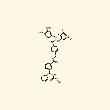 COc1ccc([C@H](Cc2c(Cl)c[n+]([O-])cc2Cl)OC(=O)c2ccc(COC(=O)c3cccc(C(NC(=O)OC(C)(C)C)c4ccccc4)c3)cc2)cc1OC